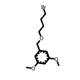 COc1cc(COCCCCBr)cc(OC)c1